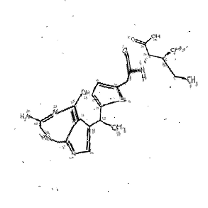 CC[C@H](C)[C@H](NC(=O)c1ccc(C(C)c2cnc3[nH]c(N)nc(O)c2-3)s1)C(=O)O